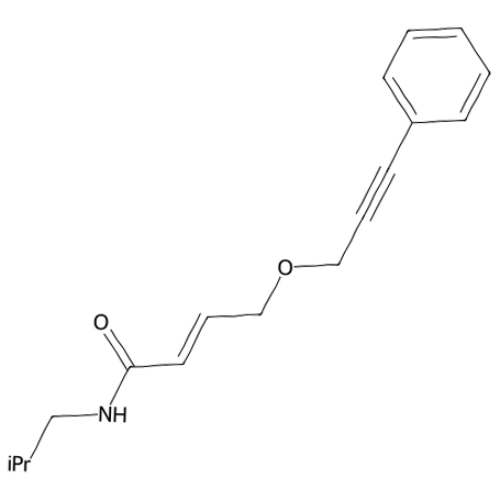 CC(C)CNC(=O)C=CCOCC#Cc1ccccc1